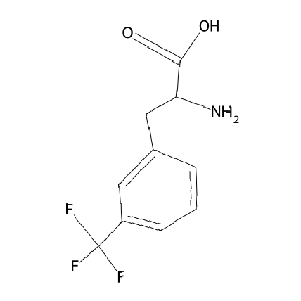 NC(Cc1cccc(C(F)(F)F)c1)C(=O)O